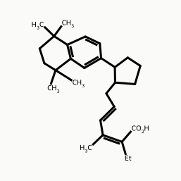 CCC(C(=O)O)=C(C)C=CCC1CCCC1c1ccc2c(c1)C(C)(C)CCC2(C)C